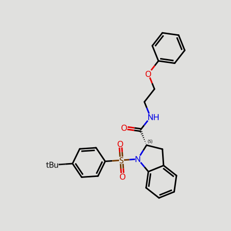 CC(C)(C)c1ccc(S(=O)(=O)N2c3ccccc3C[C@H]2C(=O)NCCOc2ccccc2)cc1